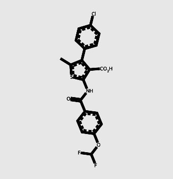 Cc1sc(NC(=O)c2ccc(OC(F)F)cc2)c(C(=O)O)c1-c1ccc(Cl)cc1